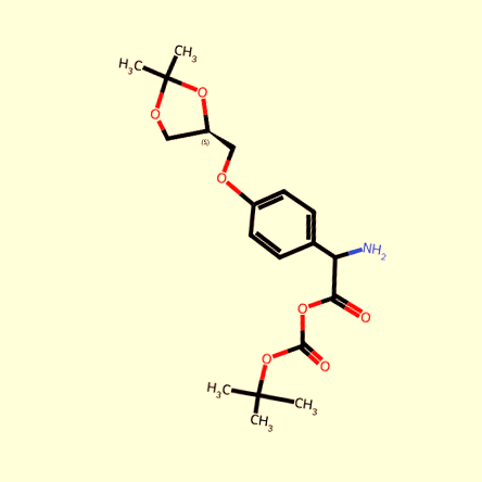 CC(C)(C)OC(=O)OC(=O)C(N)c1ccc(OC[C@H]2COC(C)(C)O2)cc1